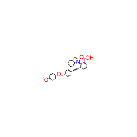 COc1ccc(OCc2ccc(C#Cc3cccc(C(=O)O)c3-n3ccc4ccccc43)cc2)cc1